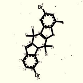 Cc1cc(Br)cc2c1CC1=C2C(C)(C)C2=Cc3ccc(Br)cc3C2C1(C)C